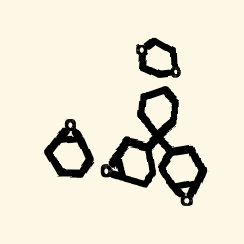 C1CCC(C2CCC3OC3C2)(C2CCC3OC3C2)CC1.C1CCC2OC2C1.C1COCCO1